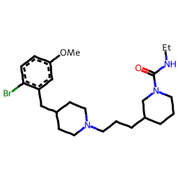 CCNC(=O)N1CCCC(CCCN2CCC(Cc3cc(OC)ccc3Br)CC2)C1